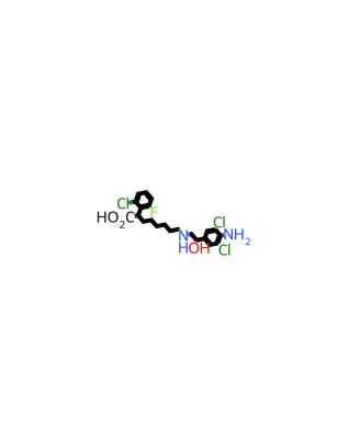 Nc1c(Cl)cc(C(O)CNCCCCCCC(C(=O)O)c2c(F)cccc2Cl)cc1Cl